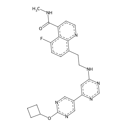 CNC(=O)c1ccnc2c(CCNc3cc(-c4cnc(OC5CCC5)nc4)ncn3)ccc(F)c12